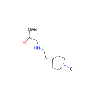 COC(=O)CNCCC1CCN(C)CC1